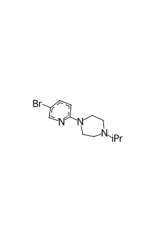 CC(C)N1CCN(c2ccc(Br)cn2)CC1